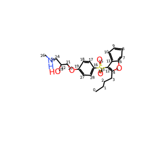 CCCCc1oc2ccccc2c1S(=O)(=O)c1ccc(OCC(O)CNC)cc1